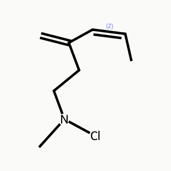 C=C(/C=C\C)CCN(C)Cl